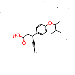 CC#C[C@@H](CC(=O)O)c1ccc(OC(C)C(C)C)cc1